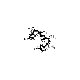 CC(C)c1csc(C(C)(C)CC(C)c2cnc(C(C)(C)CC(C)c3ncc(C(C)C)s3)s2)n1